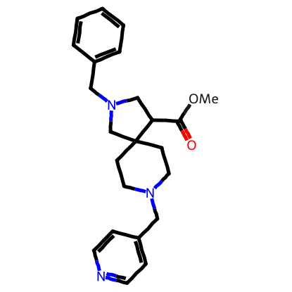 COC(=O)C1CN(Cc2ccccc2)CC12CCN(Cc1ccncc1)CC2